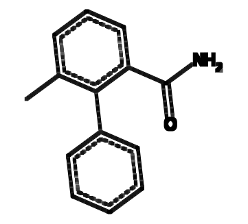 Cc1cccc(C(N)=O)c1-c1ccccc1